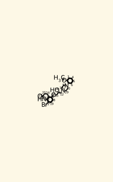 COc1ccccc1N1CCN(CC(O)COc2ccc(Br)c3c2CCC(=O)N3)CC1